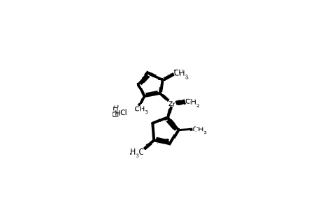 Cl.Cl.[CH2]=[Zr]([C]1=C(C)C=C(C)C1)[C]1=C(C)C=CC1C